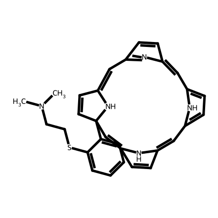 CN(C)CCSc1ccccc1C12C=C/C(=C/C3=NC(=C\c4ccc([nH]4)/C=c4/cc/c([nH]4)=C/1)/C=C3)N2